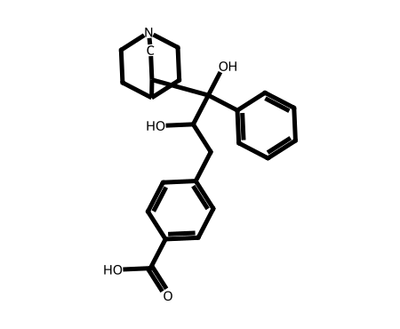 O=C(O)c1ccc(CC(O)C(O)(c2ccccc2)C2CN3CCC2CC3)cc1